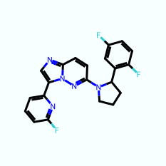 Fc1ccc(F)c(C2CCCN2c2ccc3ncc(-c4cccc(F)n4)n3n2)c1